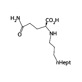 CCCCCCCCCCN[C@@H](CCC(N)=O)C(=O)O